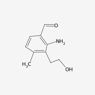 Cc1ccc(C=O)c(N)c1CCO